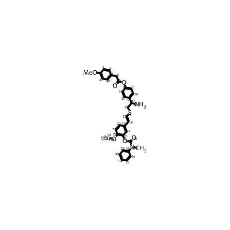 COc1ccc(CC(=O)Oc2ccc(C(N)CS/C=C/c3ccc(OC(C)(C)C)c(OC(=O)N(C)c4ccccc4)c3)cc2)cc1